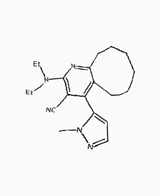 CCN(CC)c1nc2c(c(-c3ccnn3C)c1C#N)CCCCCC2